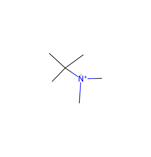 C[N+](C)C(C)(C)C